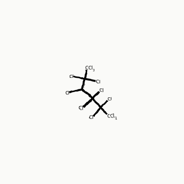 Cl[C](C(Cl)(Cl)C(Cl)(Cl)Cl)C(Cl)(Cl)C(Cl)(Cl)C(Cl)(Cl)Cl